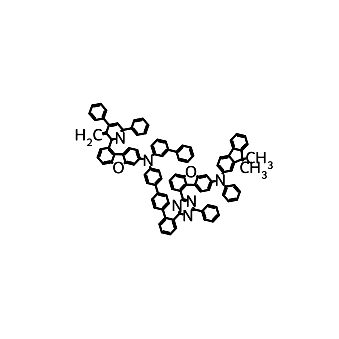 C=C1C(c2ccccc2)=CC(c2ccccc2)=NC1c1cccc2oc3cc(N(c4ccc(-c5ccc(-c6ccccc6-c6nc(-c7ccccc7)nc(-c7cccc8oc9cc(N(c%10ccccc%10)c%10ccc%11c(c%10)C(C)(C)c%10ccccc%10-%11)ccc9c78)n6)cc5)cc4)c4cccc(-c5ccccc5)c4)ccc3c12